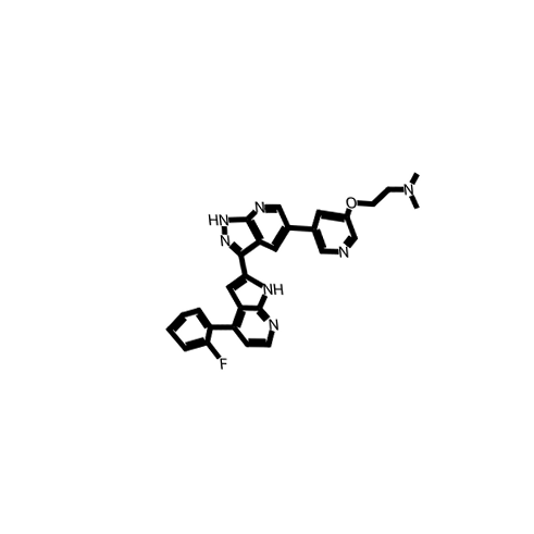 CN(C)CCOc1cncc(-c2cnc3[nH]nc(-c4cc5c(-c6ccccc6F)ccnc5[nH]4)c3c2)c1